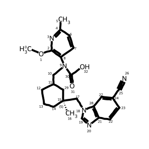 COc1nc(C)ccc1N(CC1CCC[C@](C)(Cn2cnc3ccc(C#N)cc32)C1)C(=O)O